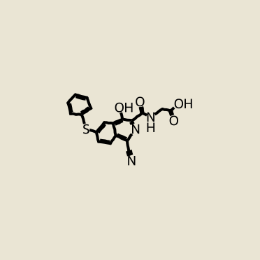 N#Cc1nc(C(=O)NCC(=O)O)c(O)c2cc(Sc3ccccc3)ccc12